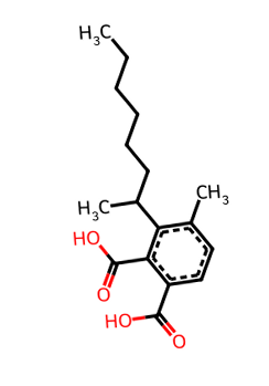 CCCCCCC(C)c1c(C)ccc(C(=O)O)c1C(=O)O